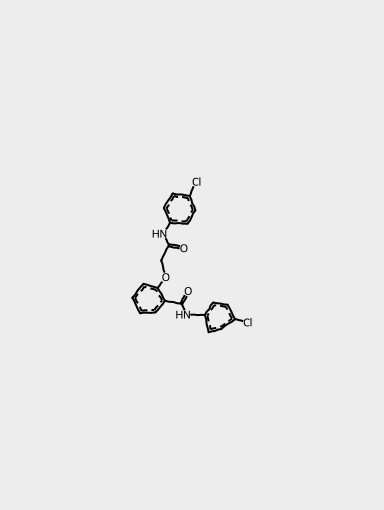 O=C(COc1ccccc1C(=O)Nc1ccc(Cl)cc1)Nc1ccc(Cl)cc1